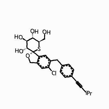 CC(C)C#Cc1ccc(Cc2cc3c(cc2Cl)CO[C@]32S[C@H](CO)[C@@H](O)[C@H](O)[C@H]2O)cc1